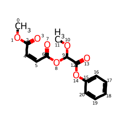 COC(=O)/C=C\C(=O)OC(OC)C(=O)Oc1ccccc1